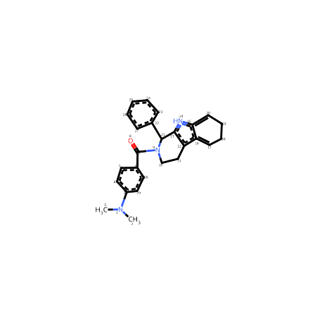 CN(C)c1ccc(C(=O)N2CCc3c([nH]c4c3=CCCC=4)C2c2ccccc2)cc1